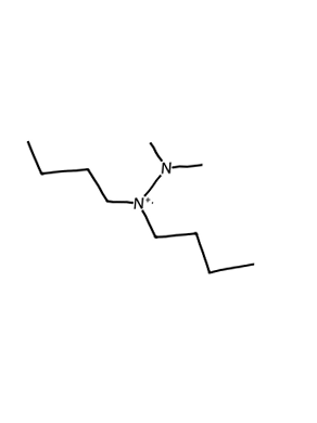 CCCC[N+](CCCC)N(C)C